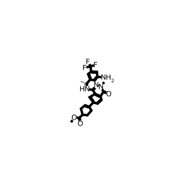 COC(=O)C1CC=C(c2ccc3c(=O)n(C)nc(N[C@H](C)c4cc(N)cc(C(F)(F)F)c4)c3c2)CC1